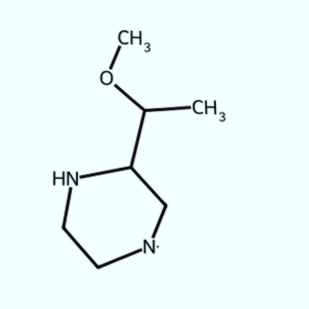 COC(C)C1C[N]CCN1